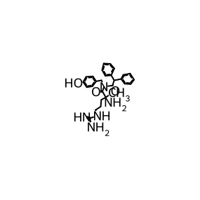 CC(N)(CCCNC(=N)N)C(=O)N(Cc1ccc(O)cc1)C(=O)C(c1ccccc1)c1ccccc1